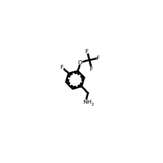 NCc1ccc(F)c(OC(F)(F)F)c1